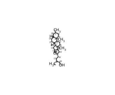 CC1CC[C@]2(C)C3CC[C@@]4(C)C(CC5O[C@H](CC[C@H](C)CO)C[C@@H]54)[C@@H]3CC[C@@H]2C1